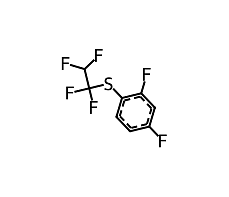 Fc1ccc(SC(F)(F)C(F)F)c(F)c1